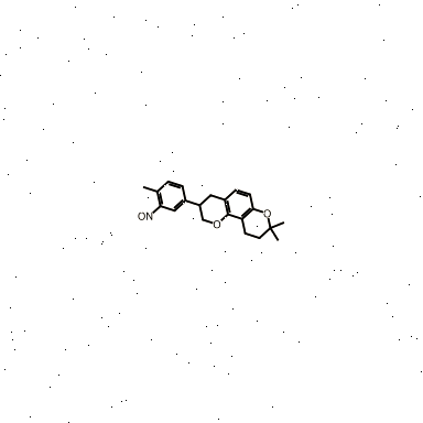 Cc1ccc(C2COc3c(ccc4c3CCC(C)(C)O4)C2)cc1N=O